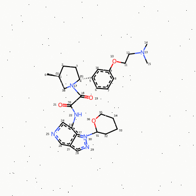 C[C@H]1CC[C@H](c2cccc(OCCN(C)C)c2)N(C(=O)C(=O)Nc2cncc3cnn(C4CCCCO4)c23)C1